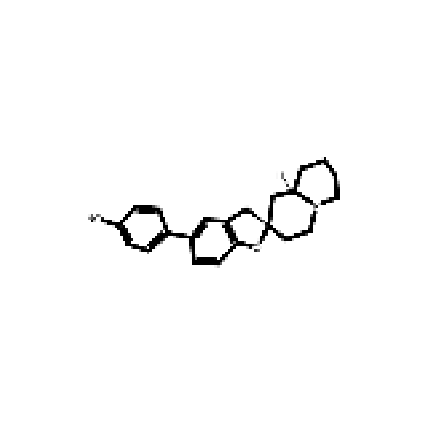 N#Cc1ccc(-c2ccc3c(c2)C[C@@]2(CCN4CCCC[C@@H]4C2)O3)cc1